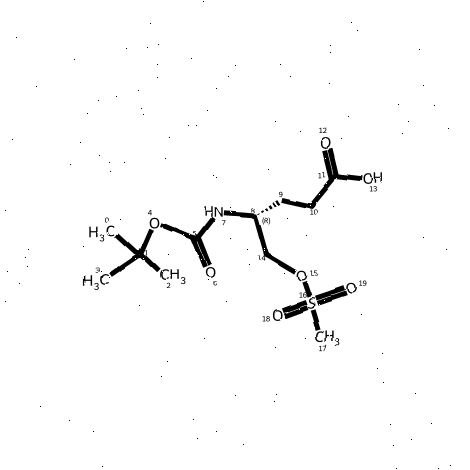 CC(C)(C)OC(=O)N[C@H](CCC(=O)O)COS(C)(=O)=O